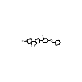 Fc1cc(OCc2ccccc2)ccc1-c1ccc(-c2ccc(Br)cc2F)c(F)c1